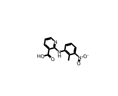 Cc1c(Nc2ncccc2C(=O)O)cccc1[N+](=O)[O-]